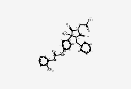 Cc1ccccc1NC(=O)Nc1ccc(C2(C)C(=O)N(CC(=O)O)C(=O)N2Cc2ccccc2)cc1